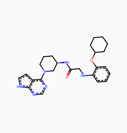 O=C(CNc1ccccc1OC1CCCCC1)N[C@@H]1CCCN(c2ncnc3[nH]ccc23)C1